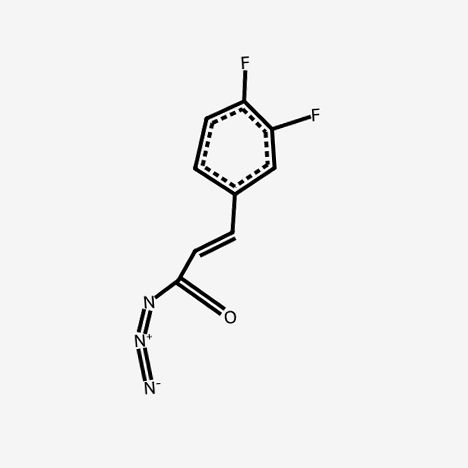 [N-]=[N+]=NC(=O)/C=C/c1ccc(F)c(F)c1